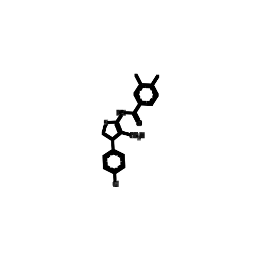 Cc1ccc(C(=O)NC2=C(C(=O)O)C(c3ccc(Cl)cc3)CS2)cc1C